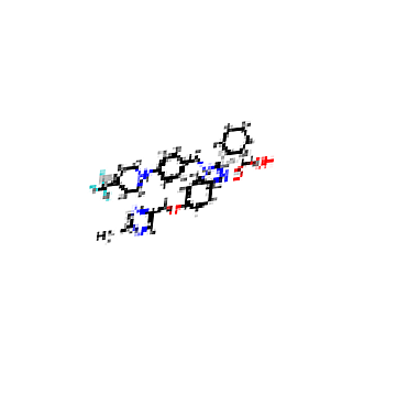 Cc1cnc(COc2ccc3nc([C@@H]4CCCC[C@@H]4C(=O)O)n(Cc4ccc(N5CCC(C(F)(F)F)CC5)cc4)c3c2)cn1